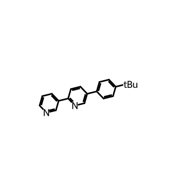 CC(C)(C)c1ccc(-c2ccc(-c3cccnc3)nc2)cc1